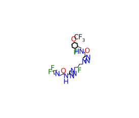 O=C(CN1CC(F)(F)C1)Nc1cn(CC(F)CCn2cc(C(=O)NCc3cc(OC(F)(F)F)ccc3F)nn2)nn1